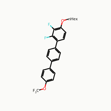 CCCCCCOc1ccc(-c2ccc(-c3ccc(OC(F)(F)F)cc3)cc2)c(F)c1F